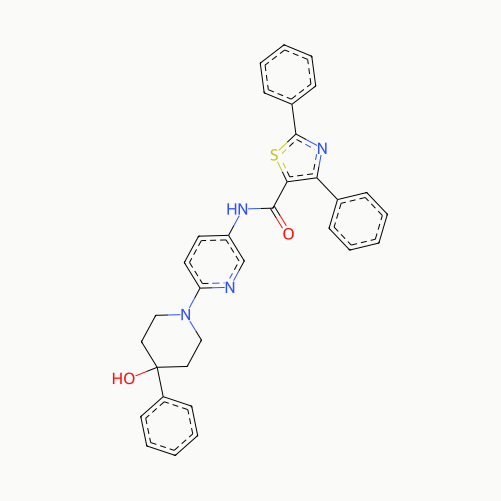 O=C(Nc1ccc(N2CCC(O)(c3ccccc3)CC2)nc1)c1sc(-c2ccccc2)nc1-c1ccccc1